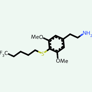 COc1cc(CCN)cc(OC)c1SCCCCC(F)(F)F